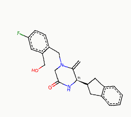 C=C1[C@@H](C2Cc3ccccc3C2)NC(=O)CN1Cc1ccc(F)cc1CO